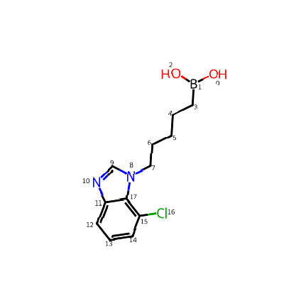 OB(O)CCCCCn1cnc2cccc(Cl)c21